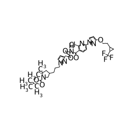 CC(C)(C)OC(=O)N1CC(CCCn2ccc(S(=O)(=O)NC(=O)c3ccc(-n4ccc(OCCC5CC5C(F)(F)F)n4)nc3Cl)n2)CC1(C)C